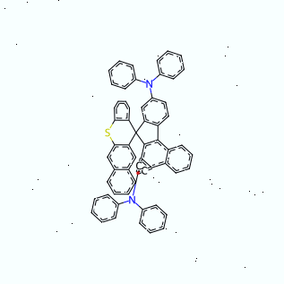 c1ccc(N(c2ccccc2)c2ccc3c(c2)C2(c4ccccc4Sc4cc5ccccc5cc42)c2c-3c3ccccc3c3cc(N(c4ccccc4)c4ccccc4)ccc23)cc1